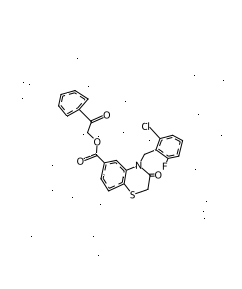 O=C(COC(=O)c1ccc2c(c1)N(Cc1c(F)cccc1Cl)C(=O)CS2)c1ccccc1